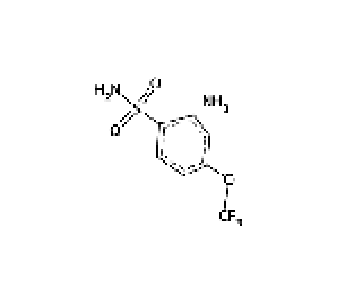 N.NS(=O)(=O)c1ccc(OC(F)(F)F)cc1